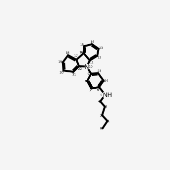 CCCCCNc1ccc(-n2c3ccccc3c3ccccc32)cc1